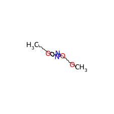 CCCCCCCCOc1ccc(-c2ncc(OCCCCCCOCCC)cn2)cc1